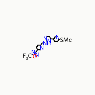 CSc1ccc(-c2ccnc(NCc3ccc(-c4noc(C(F)(F)F)n4)cn3)n2)cn1